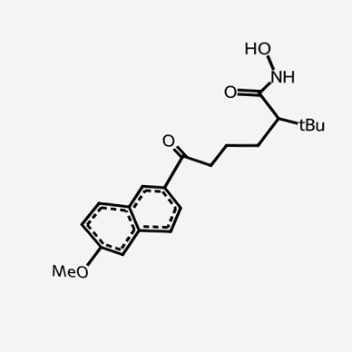 COc1ccc2cc(C(=O)CCCC(C(=O)NO)C(C)(C)C)ccc2c1